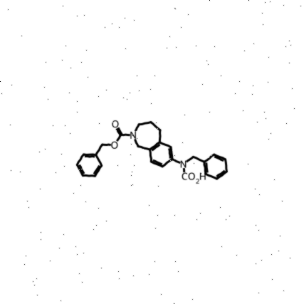 O=C(OCc1ccccc1)N1CCCc2cc(N(Cc3ccccc3)C(=O)O)ccc2C1